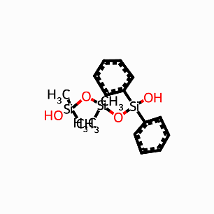 C[Si](C)(O)O[Si](C)(C)O[Si](O)(c1ccccc1)c1ccccc1